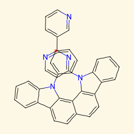 c1ccc(-n2c3ccccc3c3ccc4ccc5c6ccccc6n(-c6ccnc(-c7cccnc7)n6)c5c4c32)cc1